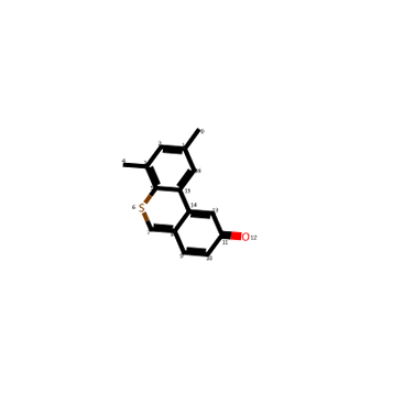 Cc1cc(C)c2scc3ccc(=O)cc-3c2c1